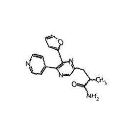 CC(Cc1cnc(-c2ccncc2)c(-c2ccco2)n1)C(N)=O